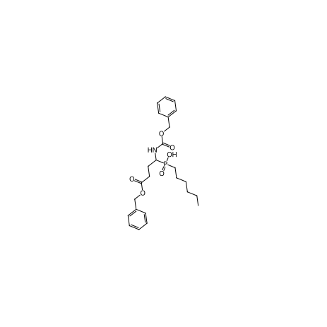 CCCCCCP(=O)(O)C(CCC(=O)OCc1ccccc1)NC(=O)OCc1ccccc1